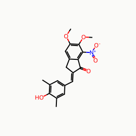 COc1cc2c(c([N+](=O)[O-])c1OC)C(=O)C(=Cc1cc(C)c(O)c(C)c1)C2